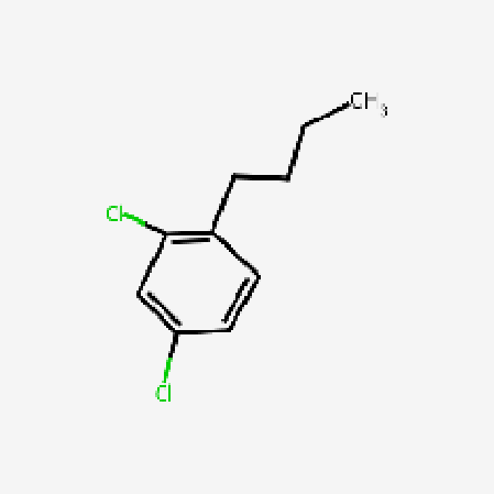 CCCCc1ccc(Cl)cc1Cl